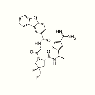 C[C@@H](NC(=O)[C@@H]1C[C@](F)(CF)CN1C(=O)CNC(=O)c1ccc2oc3ccccc3c2c1)c1cc(C(=N)N)cs1